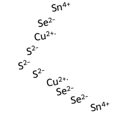 [Cu+2].[Cu+2].[S-2].[S-2].[S-2].[Se-2].[Se-2].[Se-2].[Sn+4].[Sn+4]